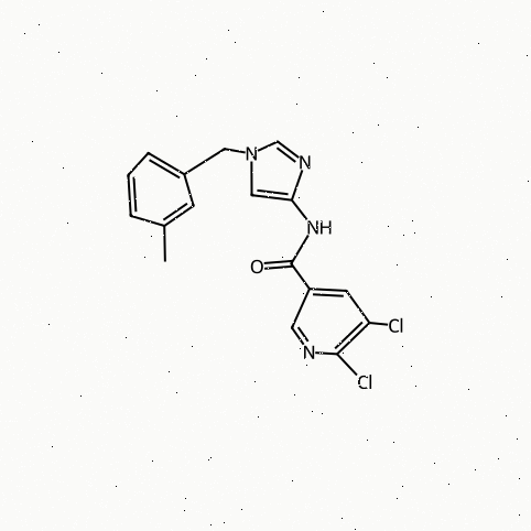 Cc1cccc(Cn2cnc(NC(=O)c3cnc(Cl)c(Cl)c3)c2)c1